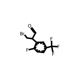 O=CC(CBr)c1cc(C(F)(F)F)ccc1F